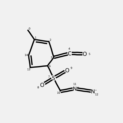 CC1=CC(=C=O)C(S(=O)(=O)C=[N+]=[N-])C=C1